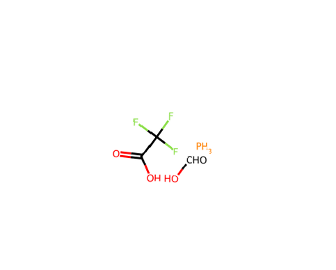 O=C(O)C(F)(F)F.O=CO.P